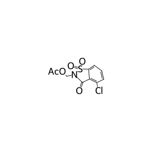 CC(=O)OCN1C(=O)c2c(Cl)cccc2S1(=O)=O